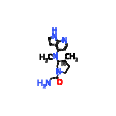 C[C@@H]1CCN(C(=O)CN)CC1N(C)c1ccnc2[nH]ccc12